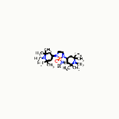 CCN(CC)P1(=O)N(C2CC(C)(C)N(C)C(C)(C)C2)CCN1C1CC(C)(C)N(C)C(C)(C)C1